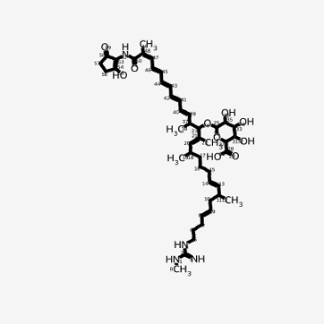 CNC(=N)NCCCC=CCC(C)C=CCCCC(C)C=C(C)C(OC1OC(C(=O)O)C(O)C(O)C1O)C(C)C=CC=CC=CC=CC=C(C)C(=O)NC1=C(O)CCC1=O